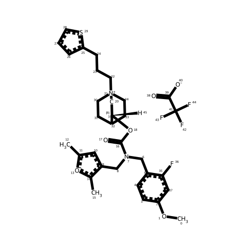 COc1ccc(CN(Cc2cc(C)oc2C)C(=O)O[C@H]2C[N+]3(CCCc4cccs4)CCC2CC3)c(F)c1.O=C([O-])C(F)(F)F